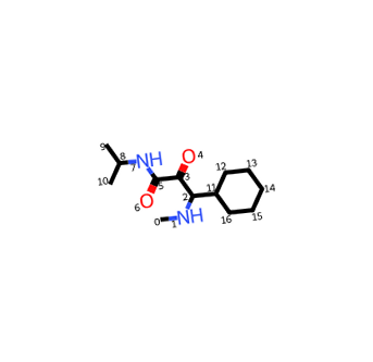 CNC(C(=O)C(=O)NC(C)C)C1CCCCC1